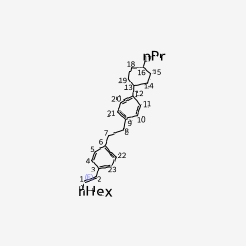 CCCCCC/C=C/c1ccc(CCc2ccc(C3CCC(CCC)CC3)cc2)cc1